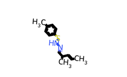 CC=CC(C)/C=N/NSc1ccc(C)cc1